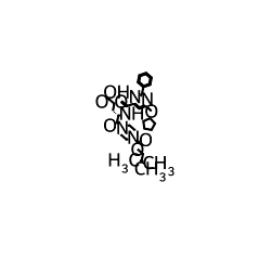 CC(C)(C)COC(=O)N1CCN(C(=O)[C@H](CCC(=O)O)NC(=O)c2cc(OC3CCCC3)nc(-c3ccccc3)n2)CC1